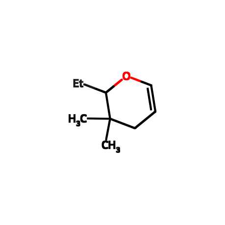 CCC1OC=CCC1(C)C